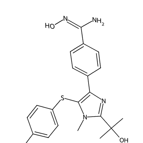 Cn1c(C(C)(C)O)nc(-c2ccc(/C(N)=N\O)cc2)c1Sc1ccc(Cl)cc1